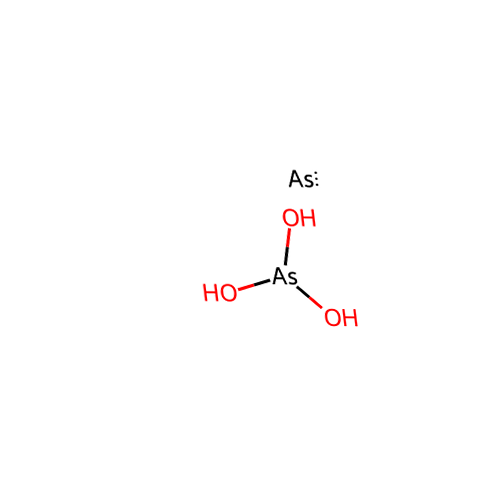 O[As](O)O.[As]